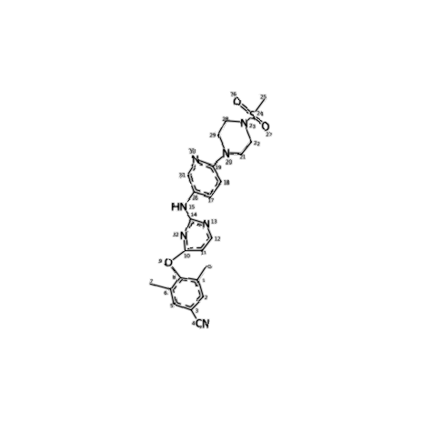 Cc1cc(C#N)cc(C)c1Oc1ccnc(Nc2ccc(N3CCN(S(C)(=O)=O)CC3)nc2)n1